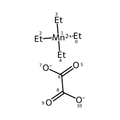 C[CH2][Mn+2]([CH2]C)([CH2]C)[CH2]C.O=C([O-])C(=O)[O-]